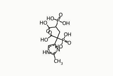 Cc1nc(C(CC(C(=O)O)P(=O)(O)O)(C(=O)O)P(=O)(O)O)c[nH]1